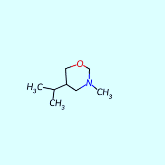 CC(C)C1COCN(C)C1